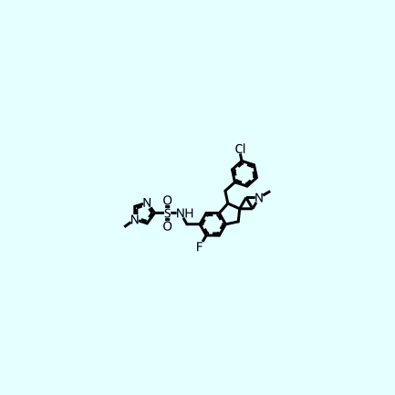 CN1C2C1C21Cc2cc(F)c(CNS(=O)(=O)c3cn(C)cn3)cc2C1Cc1cccc(Cl)c1